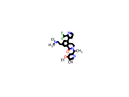 CCOc1cc([C@H](C)N2CCc3c(cc(CCN(C)CC)cc3-c3cccnc3C(F)F)C2=O)ncc1C#N